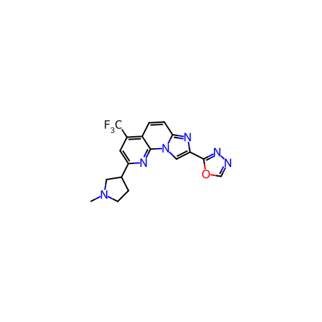 CN1CCC(c2cc(C(F)(F)F)c3ccc4nc(-c5nnco5)cn4c3n2)C1